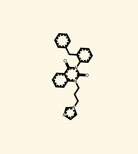 O=c1c2ccccc2n(CCCn2ccnc2)c(=O)n1-c1ccccc1Cc1ccccc1